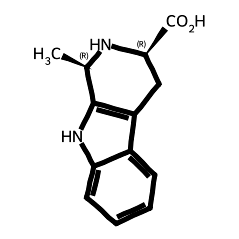 C[C@H]1N[C@@H](C(=O)O)Cc2c1[nH]c1ccccc21